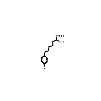 CCOC(=O)C(O)CCCCCc1ccc(Cl)cc1